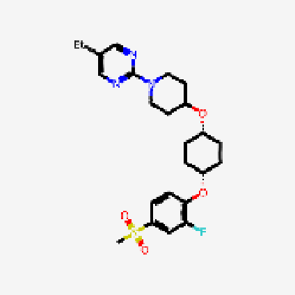 CCc1cnc(N2CCC(O[C@H]3CC[C@@H](Oc4ccc(S(C)(=O)=O)cc4F)CC3)CC2)nc1